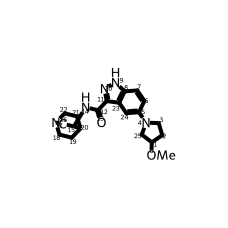 COC1CCN(c2ccc3[nH]nc(C(=O)NC4CN5CCC4CC5)c3c2)C1